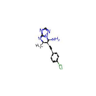 Cc1nc2ncnn2c(N)c1C#Cc1ccc(Cl)cc1